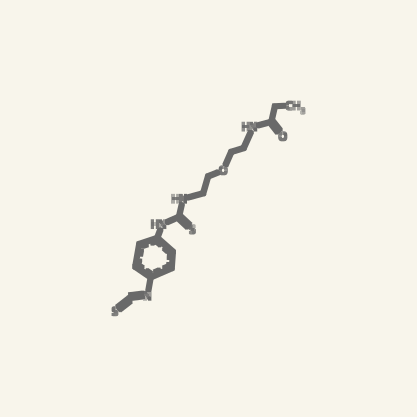 CCC(=O)NCCOCCNC(=S)Nc1ccc(N=C=S)cc1